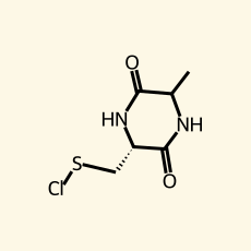 CC1NC(=O)[C@H](CSCl)NC1=O